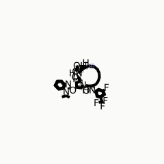 CC(C)n1c(O[C@@H]2C[C@H]3C(=O)N[C@]4(C(=O)O)C[C@H]4/C=C\CCCCC[C@H](Nc4cc(F)cc(C(F)(F)F)c4)C(=O)N3C2)nc2ccccc21